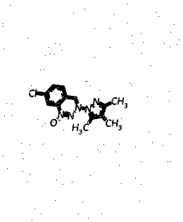 Cc1nn(N2Cc3ccc(Cl)cc3[N+]([O-])=N2)c(C)c1C